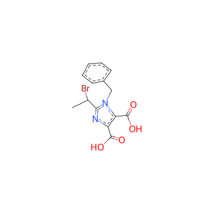 CC(Br)c1nc(C(=O)O)c(C(=O)O)n1Cc1ccccc1